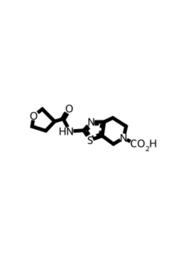 O=C(Nc1nc2c(s1)CN(C(=O)O)CC2)C1CCOC1